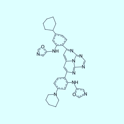 C1=NC2=NC(c3ccc(N4CCCCC4)cc3Nc3cnco3)=CC3=CC(c4ccc(C5CCCCC5)cc4Nc4cnco4)=NC(=N1)N32